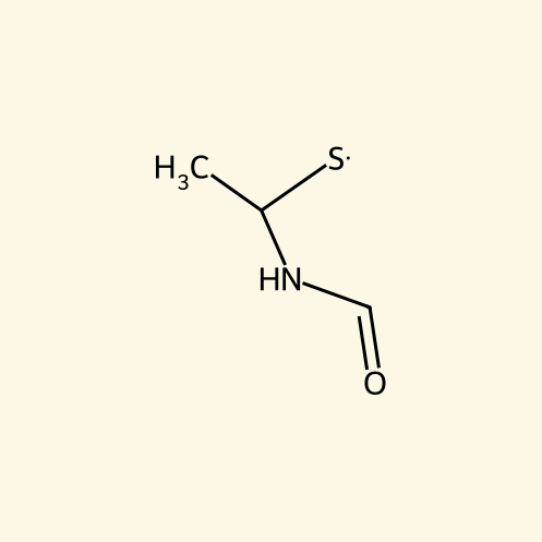 CC([S])NC=O